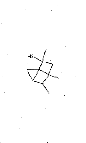 CC1C2CC23C(C)(S)CC13C